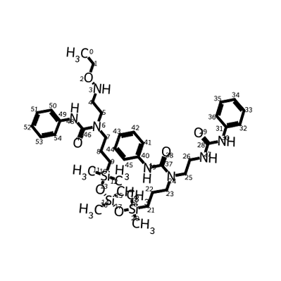 CCONCCN(CCC[Si](C)(C)O[Si](C)(C)O[Si](C)(C)CCCN(CCNC(=O)Nc1ccccc1)C(=O)Nc1ccccc1)C(=O)Nc1ccccc1